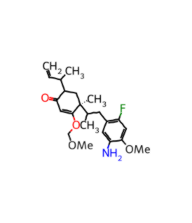 C=CC(C)C1C[C@@](C)(C(C)Cc2cc(N)c(OC)cc2F)C(OCOC)=CC1=O